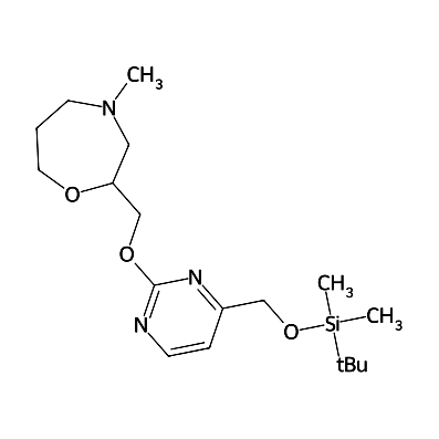 CN1CCCOC(COc2nccc(CO[Si](C)(C)C(C)(C)C)n2)C1